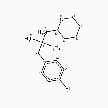 CCc1ccc(CC(C)(C)[SiH2]C2CCCCO2)cc1